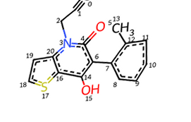 C#CCn1c(=O)c(-c2ccccc2C)c(O)c2sccc21